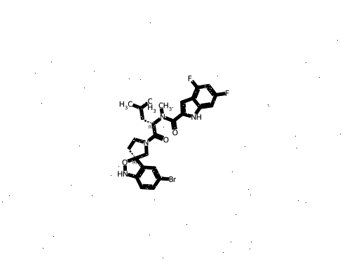 CC(C)C[C@@H](C(=O)N1CC[C@@]2(C1)ONc1ccc(Br)cc12)N(C)C(=O)c1cc2c(F)cc(F)cc2[nH]1